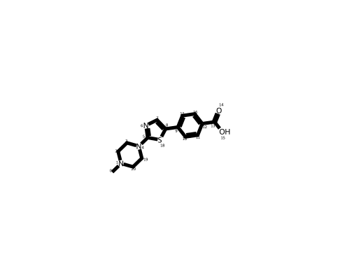 CN1CCN(c2ncc(-c3ccc(C(=O)O)cc3)s2)CC1